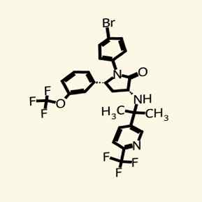 CC(C)(N[C@@H]1C[C@H](c2cccc(OC(F)(F)F)c2)N(c2ccc(Br)cc2)C1=O)c1ccc(C(F)(F)F)nc1